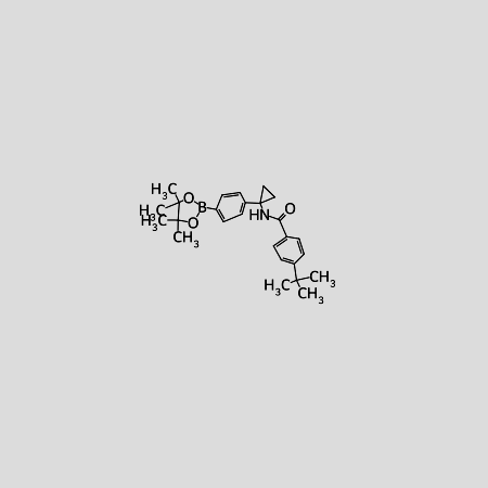 CC(C)(C)c1ccc(C(=O)NC2(c3ccc(B4OC(C)(C)C(C)(C)O4)cc3)CC2)cc1